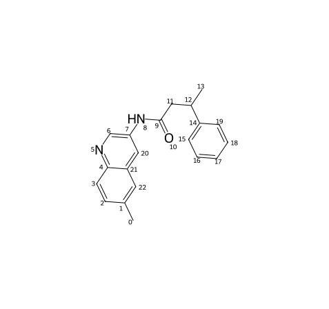 Cc1ccc2ncc(NC(=O)CC(C)c3ccccc3)cc2c1